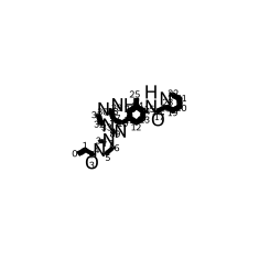 C=CC(=O)N1CCN(c2nc(-c3ccc(NC(=O)c4ccccn4)c(C)c3)c3c(N)nccn23)C1